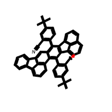 CC(C)(C)c1ccc(-c2c3cc4c5ccccc5c5cccc(c3c(-c3ccc(C(C)(C)C)cc3C#N)c3c6cccc7cccc(c23)c76)c54)c(C#N)c1